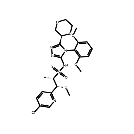 COc1cccc(OC)c1-n1c(NS(=O)(=O)[C@@H](C)[C@H](OC)c2ccc(Cl)cn2)nnc1[C@H]1COCCO1